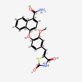 COc1cc(/C=C2\SC(=O)NC2=O)ccc1Oc1ccc(C(N)=O)c2ccccc12